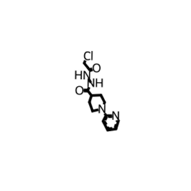 O=C(CCl)NNC(=O)C1CCN(c2ccccn2)CC1